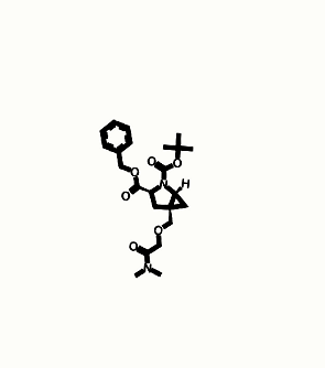 CN(C)C(=O)COC[C@@]12C[C@@H](C(=O)OCc3ccccc3)N(C(=O)OC(C)(C)C)[C@@H]1C2